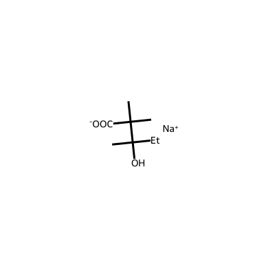 CCC(C)(O)C(C)(C)C(=O)[O-].[Na+]